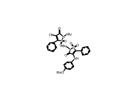 CCCCN1C(=O)C(Cl)=C(c2ccccc2)S1(=O)=O.CCCCN1C(=O)C(Nc2ccc(OC)cc2)=C(c2ccccc2)S1(=O)=O